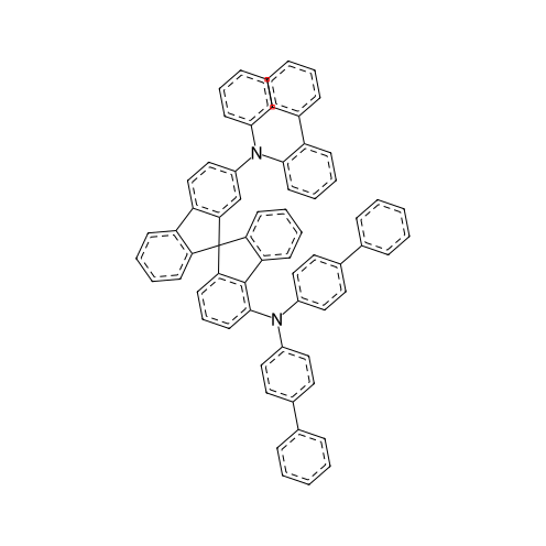 c1ccc(-c2ccc(N(c3ccc(-c4ccccc4)cc3)c3cccc4c3-c3ccccc3C43c4ccccc4-c4ccc(N(c5ccccc5)c5ccccc5-c5ccccc5)cc43)cc2)cc1